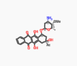 CO[C@@H]1[C@H](C)O[C@@H](O[C@H]2C[C@](O)(C(C)=O)Cc3c(O)c4c(c(O)c32)C(=O)c2ccccc2C4=O)C[C@@H]1N